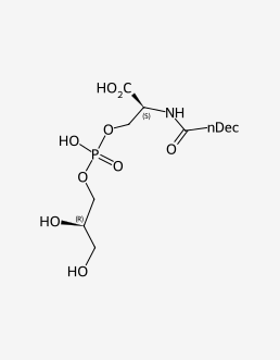 CCCCCCCCCCC(=O)N[C@@H](COP(=O)(O)OC[C@H](O)CO)C(=O)O